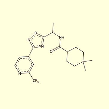 CC(NC(=O)C1CCC(C)(C)CC1)c1nc(-c2ccnc(C(F)(F)F)c2)no1